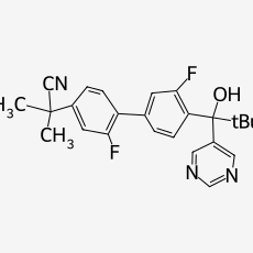 CC(C)(C#N)c1ccc(-c2ccc(C(O)(c3cncnc3)C(C)(C)C)c(F)c2)c(F)c1